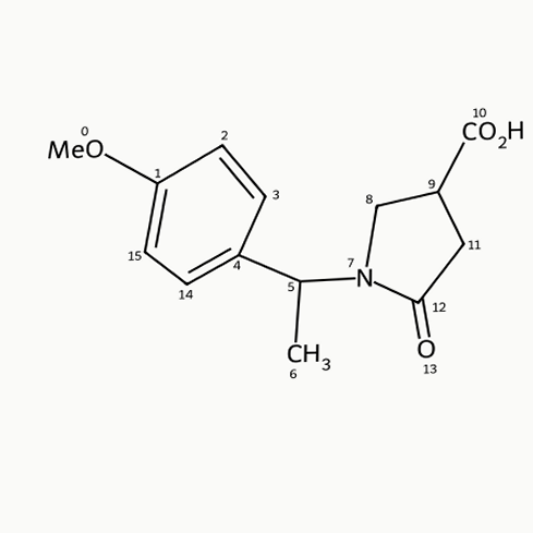 COc1ccc(C(C)N2CC(C(=O)O)CC2=O)cc1